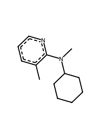 Cc1cccnc1N(C)C1CCCCC1